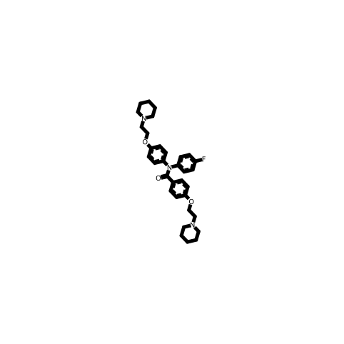 O=C(c1ccc(OCCN2CCCCC2)cc1)N(c1ccc(F)cc1)c1ccc(OCCN2CCCCC2)cc1